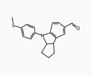 CSc1ccc(N2c3ccc(C=O)cc3C3CCCC32)cc1